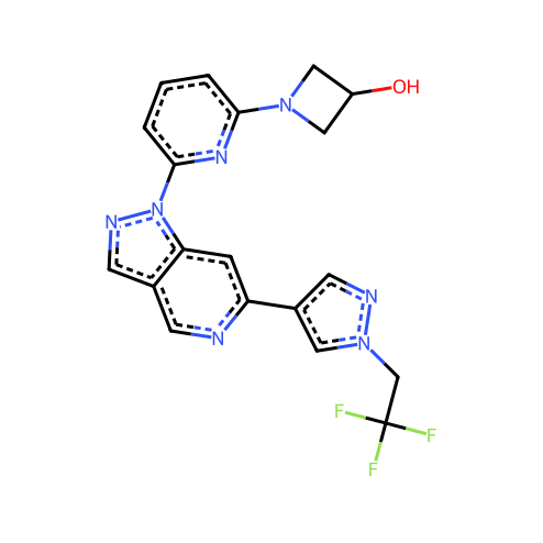 OC1CN(c2cccc(-n3ncc4cnc(-c5cnn(CC(F)(F)F)c5)cc43)n2)C1